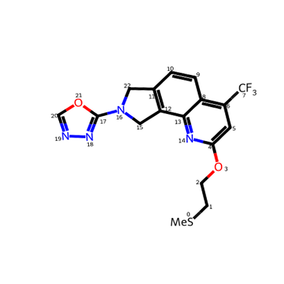 CSCCOc1cc(C(F)(F)F)c2ccc3c(c2n1)CN(c1nnco1)C3